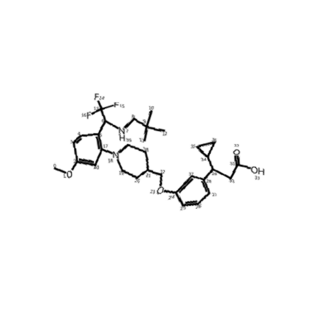 COc1ccc(C(NCC(C)(C)C)C(F)(F)F)c(N2CCC(COc3cccc(C(CC(=O)O)C4CC4)c3)CC2)c1